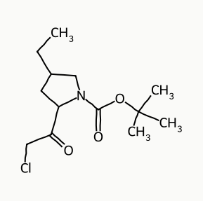 CCC1CC(C(=O)CCl)N(C(=O)OC(C)(C)C)C1